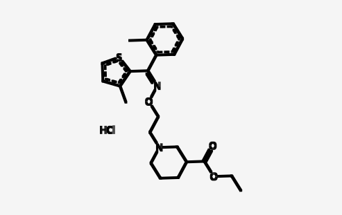 CCOC(=O)C1CCCN(CCON=C(c2ccccc2C)c2sccc2C)C1.Cl